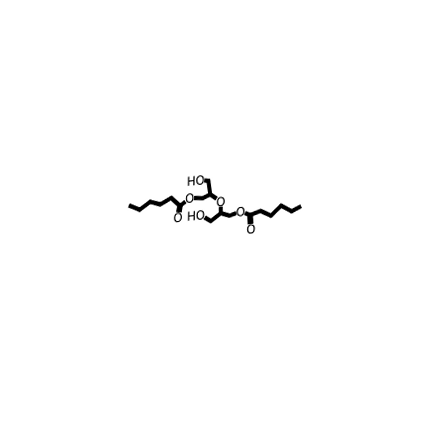 CCCCCC(=O)OCC(CO)OC(CO)COC(=O)CCCCC